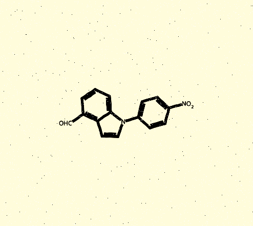 O=Cc1cccc2c1ccn2-c1ccc([N+](=O)[O-])cc1